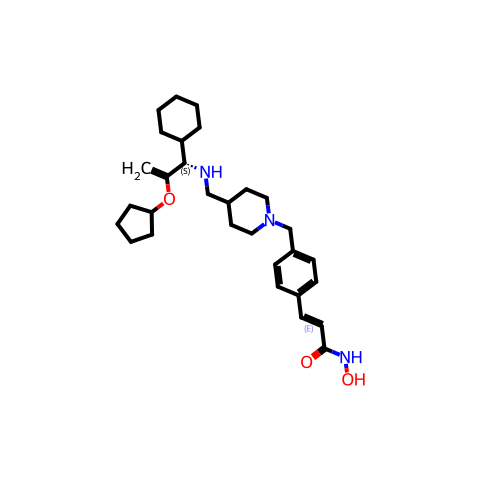 C=C(OC1CCCC1)[C@@H](NCC1CCN(Cc2ccc(/C=C/C(=O)NO)cc2)CC1)C1CCCCC1